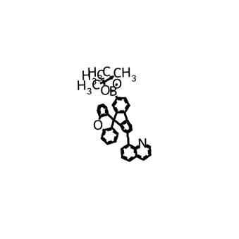 CC1(C)OB(c2ccc3c(c2)C2(c4ccccc4Oc4ccccc42)c2cc(-c4cccc5cccnc45)ccc2-3)OC1(C)C